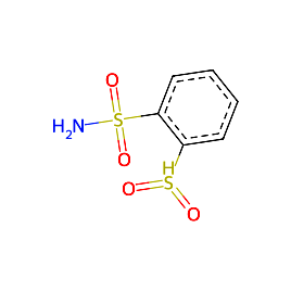 NS(=O)(=O)c1ccccc1[SH](=O)=O